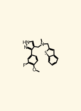 COc1ccc(-c2n[nH]cc2CN(C)Cc2cc3ccccc3s2)cc1F